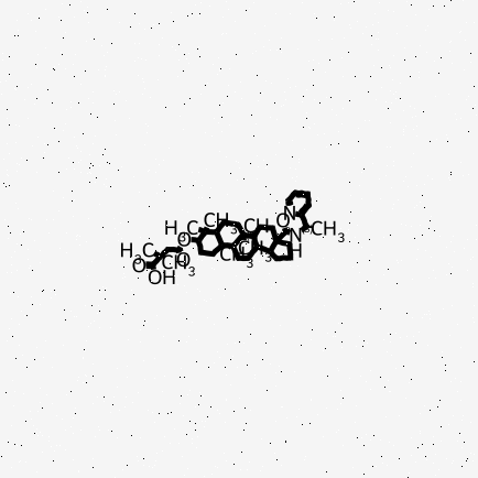 C[C@H](NC(=O)C12CCCC1C1CCC3C4(C)CCC(OC(=O)CC(C)(C)C(=O)O)C(C)(C)C4CCC3(C)[C@]1(C)CC2)c1ccccn1